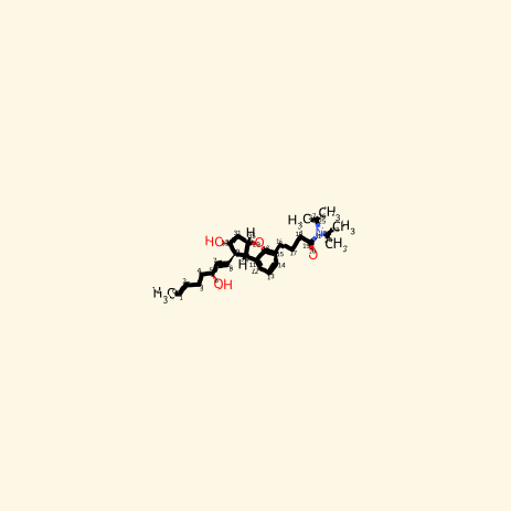 CCCCC[C@H](O)/C=C/[C@@H]1[C@H]2c3cccc(CCCC(=O)N(C(C)C)C(C)C)c3O[C@H]2C[C@H]1O